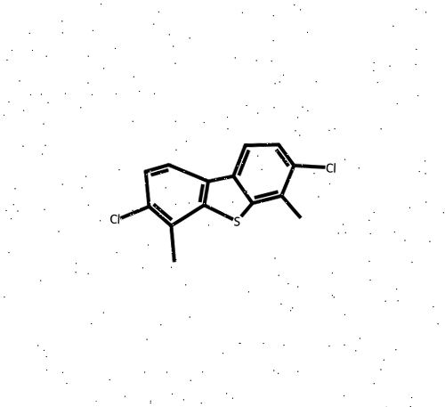 Cc1c(Cl)ccc2c1sc1c(C)c(Cl)ccc12